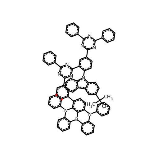 CC(C)(C)c1ccc2c(c1)c1ccccc1n2-c1ccc(-c2nc(-c3ccccc3)nc(-c3ccccc3)n2)cc1-c1nc(-c2ccccc2)nc(-c2cccc(-c3ccc4c5c3N(c3ccccc3)c3ccccc3B5c3ccccc3N4c3ccccc3)c2)n1